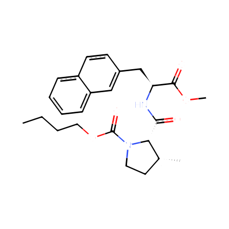 CCCCOC(=O)N1CC[C@@H](C)[C@H]1C(=O)N[C@@H](Cc1ccc2ccccc2c1)C(=O)OC